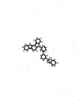 c1cc(-c2ccnc(-n3c4ccccc4c4c5sc6ccccc6c5ccc43)n2)cc(-c2nc3ccccc3o2)c1